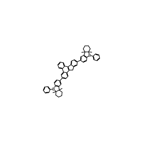 CC12CCCCC1(C)c1cc(-c3ccc4c(c3)Cc3c-4c4ccccc4c4cc(-c5ccc6c(c5)C5(C)CCCCC5(C)B6c5ccccc5)ccc34)ccc1B2c1ccccc1